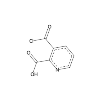 O=C(Cl)c1cccnc1C(=O)O